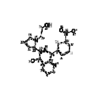 O=c1c2cccnc2c(-c2cccc([N+](=O)[O-])c2)nn1-c1cccn1CCO